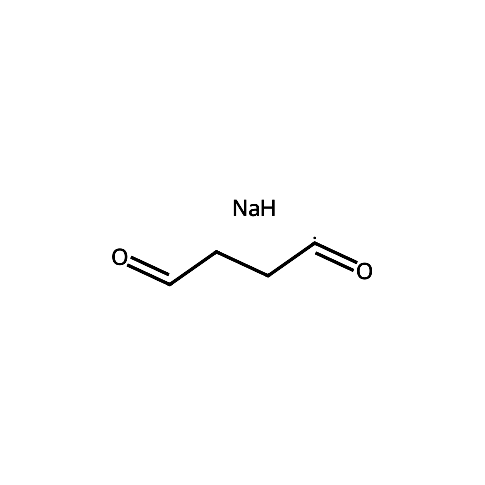 O=[C]CCC=O.[NaH]